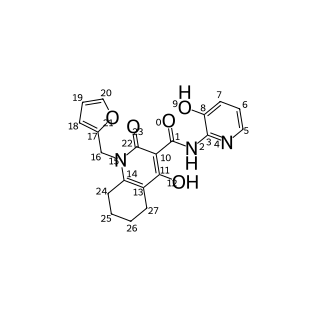 O=C(Nc1ncccc1O)c1c(O)c2c(n(Cc3ccco3)c1=O)CCCC2